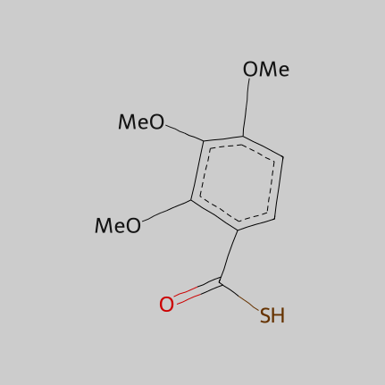 COc1ccc(C(=O)S)c(OC)c1OC